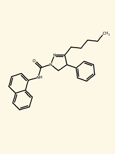 CCCCCC1=NN(C(=O)Nc2cccc3ccccc23)CC1c1ccccc1